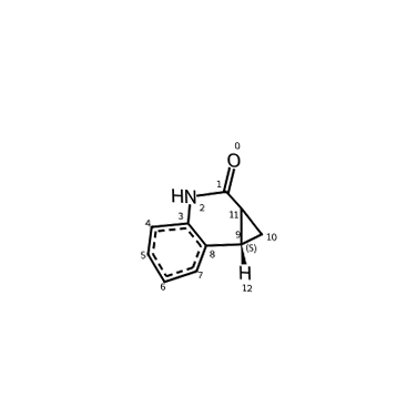 O=C1Nc2ccccc2[C@H]2CC12